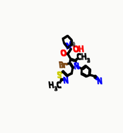 Cc1nc(Cc2c(Br)c(C(=O)CN3C4CCC3[C@H](O)C4)c(C)n2-c2ccc(C#N)cc2)cs1